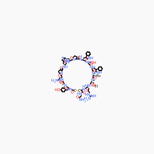 CCCC[C@H]1C(=O)N(C)[C@@H](COCC)C(=O)N[C@@H](CCCNC(=N)N)C(=O)NC(C(=O)NCC(N)=O)CSCC(=O)N[C@@H](Cc2ccc(O)cc2)C(=O)N(C)[C@@H](C)C(=O)N[C@@H](CC(N)=O)C(=O)N2CCC[C@H]2C(=O)N[C@@H](Cc2cnc[nH]2)C(=O)N[C@@H](CC(C)C)C(=O)N2CCC[C@H]2C(=O)N[C@@H](Cc2c[nH]c3ccccc23)C(=O)N[C@@H](CO)C(=O)N[C@@H](Cc2c[nH]c3ccccc23)C(=O)N1C